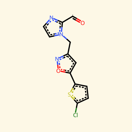 O=[C]c1nccn1Cc1cc(-c2ccc(Cl)s2)on1